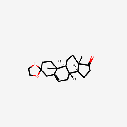 C[C@]12CCC3(CC1=CC[C@@H]1[C@@H]2CC[C@]2(C)C(=O)CC[C@@H]12)OCCO3